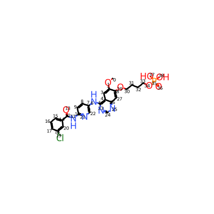 COc1cc2c(Nc3ccc(NC(=O)c4cccc(Cl)c4)nc3)ncnc2cc1OCCCCOP(=O)(O)O